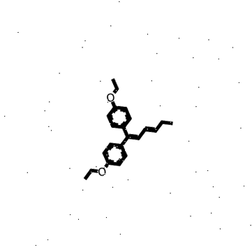 CC/C=C/C=C(c1ccc(OCC)cc1)c1ccc(OCC)cc1